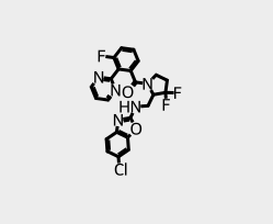 O=C(c1cccc(F)c1-c1ncccn1)N1CCC(F)(F)C1CNc1nc2ccc(Cl)cc2o1